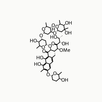 CO[C@H](C(=O)[C@@H](O)[C@@H](C)O)[C@@H]1Cc2cc3cc(O[C@H]4CC[C@H](O)C(C)O4)c(C)c(O)c3c(O)c2C(=O)[C@H]1O[C@H]1C[C@@H](O[C@H]2CC(O[C@H]3CC(C)(O)[C@H](O)C(C)O3)[C@@H](O)C(C)O2)[C@H](O)C(C)O1